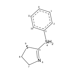 c1ccc([SiH2]C2=NCCS2)cc1